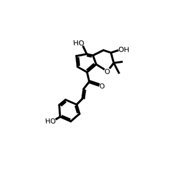 CC1(C)Oc2c(C(=O)/C=C/c3ccc(O)cc3)ccc(O)c2CC1O